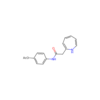 CC(=O)Oc1ccc(NC(=O)CC2=CC=CC=CN2)cc1